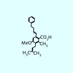 COc1cc(/C=C/CCc2ccccc2)c(C(=O)O)c(C)c1CC=C(C)C